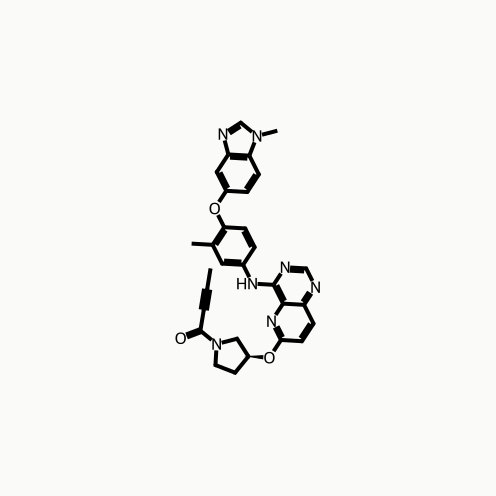 CC#CC(=O)N1CC[C@H](Oc2ccc3ncnc(Nc4ccc(Oc5ccc6c(c5)ncn6C)c(C)c4)c3n2)C1